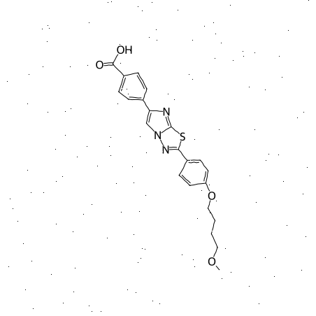 COCCCCOc1ccc(-c2nn3cc(-c4ccc(C(=O)O)cc4)nc3s2)cc1